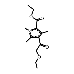 CCOCC(=O)c1c(C)c(C(=O)OCC)n(C)c1C